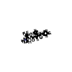 C=C/C(=N\N(C)C)C1(NC(=O)C(=O)c2c(C)c(C(=O)Nc3ccc(F)cc3)c3n2CCC3)CC(F)(F)C1